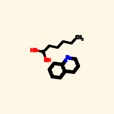 CCCCCB(O)O.c1ccc2ncccc2c1